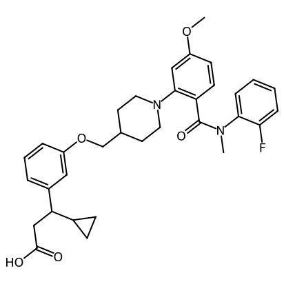 COc1ccc(C(=O)N(C)c2ccccc2F)c(N2CCC(COc3cccc(C(CC(=O)O)C4CC4)c3)CC2)c1